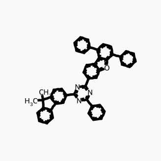 CC1(C)c2ccccc2-c2cc(-c3nc(-c4ccccc4)nc(-c4ccc5c(c4)oc4c(-c6ccccc6)ccc(-c6ccccc6)c45)n3)ccc21